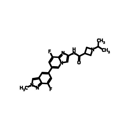 CC(C)N1CC(C(=O)Nc2cn3cc(-c4cc(F)c5nn(C)cc5c4)cc(F)c3n2)C1